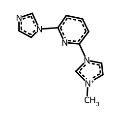 C[n+]1ccn(-c2cccc(-n3ccnc3)n2)c1